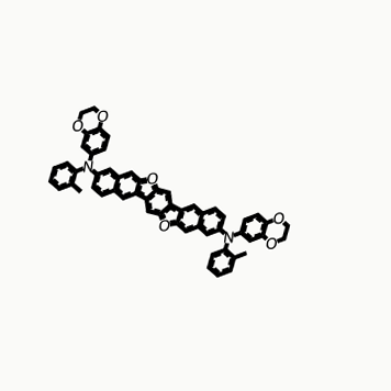 Cc1ccccc1N(c1ccc2c(c1)OCCO2)c1ccc2cc3c(cc2c1)oc1cc2c(cc13)oc1cc3cc(N(c4ccc5c(c4)OCCO5)c4ccccc4C)ccc3cc12